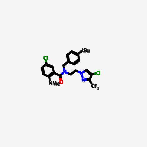 CNc1ccc(Cl)cc1C(=O)N(CCn1cc(Cl)c(C(F)(F)F)n1)Cc1ccc(C(C)(C)C)cc1